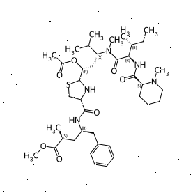 CC[C@@H](C)[C@@H](NC(=O)[C@@H]1CCCCN1C)C(=O)N(C)[C@H](C[C@@H](OC(C)=O)C1NC(C(=O)N[C@@H](Cc2ccccc2)C[C@H](C)C(=O)OC)CS1)C(C)C